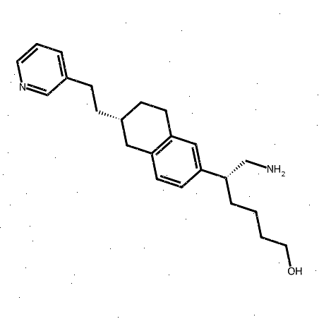 NC[C@H](CCCCO)c1ccc2c(c1)CC[C@@H](CCc1cccnc1)C2